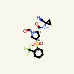 N#CC1(NC(=O)[C@@H]2C[C@@H](S(=O)(=O)c3ccccc3C(F)(F)F)CN2C=O)CC1